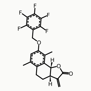 C=C1C(=O)O[C@H]2c3c(C)c(OCc4c(F)c(F)c(F)c(F)c4F)cc(C)c3CC[C@@H]12